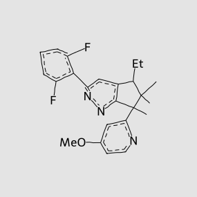 CCC1c2cc(-c3c(F)cccc3F)nnc2C(C)(c2cc(OC)ccn2)C1(C)C